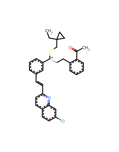 CCC1(CS[C@H](CCc2ccccc2C(C)=O)c2cccc(/C=C/c3ccc4ccc(Cl)cc4n3)c2)CC1